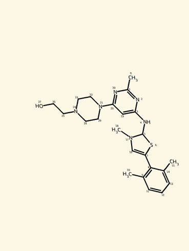 Cc1nc(NC2SC(c3c(C)cccc3C)=CN2C)cc(N2CCN(CCO)CC2)n1